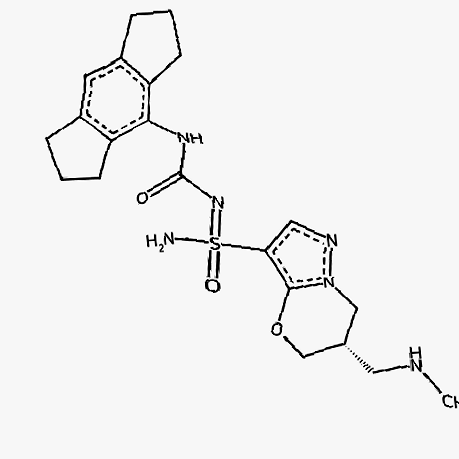 CNC[C@@H]1COc2c(S(N)(=O)=NC(=O)Nc3c4c(cc5c3CCC5)CCC4)cnn2C1